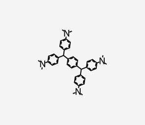 CN(C)c1ccc(C(c2ccc(C(c3ccc(N(C)C)cc3)c3ccc(N(C)C)cc3)cc2)c2ccc(N(C)C)cc2)cc1